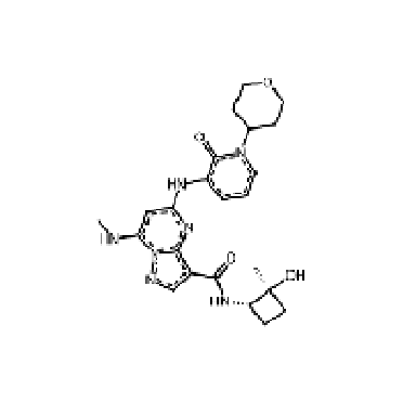 CNc1cc(Nc2cccn(C3CCOCC3)c2=O)nc2c(C(=O)N[C@H]3CC[C@]3(C)O)cnn12